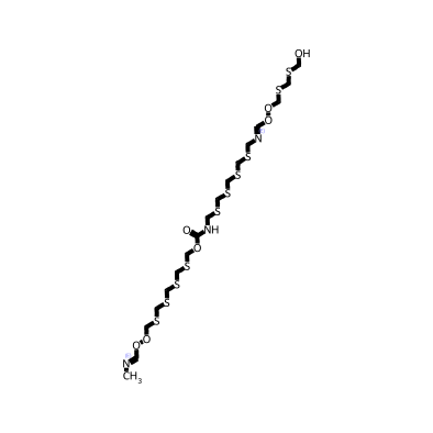 C/N=C/OOCSCSCSCSCOC(=O)NCSCSCSCSC/N=C/OOCSCSCO